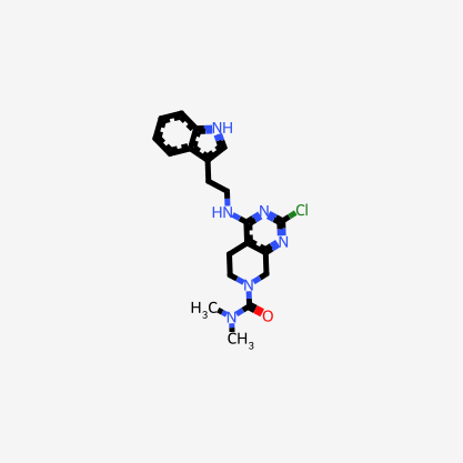 CN(C)C(=O)N1CCc2c(nc(Cl)nc2NCCc2c[nH]c3ccccc23)C1